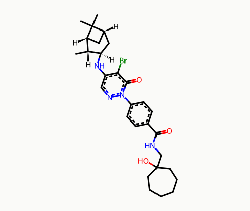 C[C@@H]1[C@H]2C[C@@H](C[C@H]1Nc1cnn(-c3ccc(C(=O)NCC4(O)CCCCCC4)cc3)c(=O)c1Br)C2(C)C